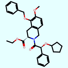 CCOC(=O)[C@@H]1Cc2c(ccc(OC)c2OCc2ccccc2)CN1C(=O)[C@@H](OC1CCCC1)c1ccccc1